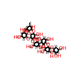 Cc1cc(O)c(Oc2cc(O)c3c(c2Oc2cc(O)cc(O)c2)Oc2c(O)cc(O)c(-c4c(O)cc(O)c5c4Oc4c(O)cc(O)c(Oc6cc(O)cc(O)c6)c4O5)c2O3)c(O)c1